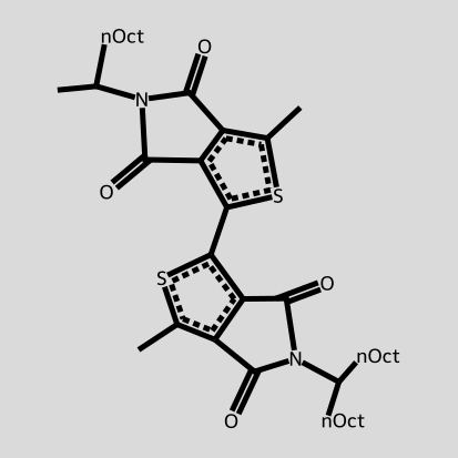 CCCCCCCCC(C)N1C(=O)c2c(C)sc(-c3sc(C)c4c3C(=O)N(C(CCCCCCCC)CCCCCCCC)C4=O)c2C1=O